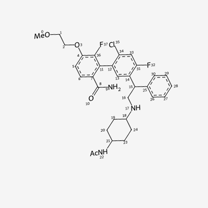 COCCOc1ccc(C(N)=O)c(-c2cc(C(CNC3CCC(NC(C)=O)CC3)c3ccccc3)c(F)cc2Cl)c1F